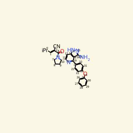 CC(C)C=C(C#N)C(=O)N1CCC[C@H]1c1cc2[nH]nc(N)c2c(-c2ccc(Oc3ccccc3)cc2)n1